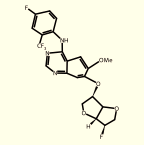 COc1cc2c(Nc3ccc(F)cc3C(F)(F)F)ncnc2cc1O[C@@H]1CO[C@@H]2C1OC[C@H]2F